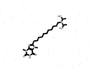 CC(O)N(CCCCCCCCCCCc1nc2c(c(=O)[nH]c(=O)n2C)n1C)C(C)O